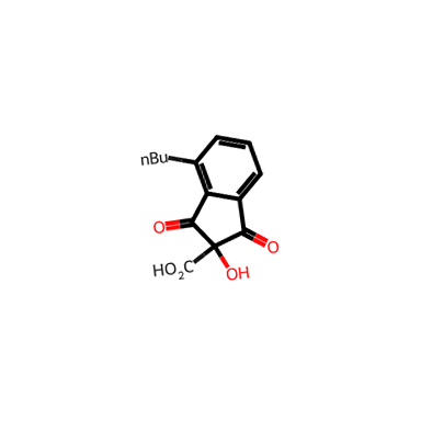 CCCCc1cccc2c1C(=O)C(O)(C(=O)O)C2=O